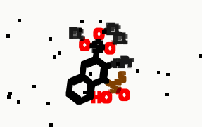 CCCc1c([Si](OCC)(OCC)OCC)cc2ccccc2c1S(=O)(O)=S